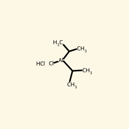 C[CH](C)[Al]([Cl])[CH](C)C.Cl